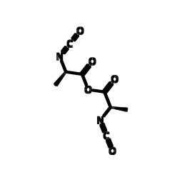 C[C@@H](N=C=O)C(=O)OC(=O)[C@@H](C)N=C=O